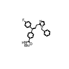 CC(C)(C)NC(=O)c1ccc(C(=CCc2nccn2Cc2ccccc2)c2ccc(F)cc2)cc1